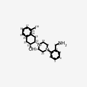 NCc1ccccc1N1CCN([C@H]2Cc3c(I)cccc3C[C@@H]2O)CC1